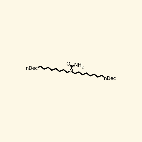 CCCCCCCCCCCCCCCCCCN(CCCCCCCCCCCCCCCCCC)C(N)=O